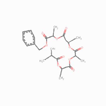 CC(=O)OC(C)C(=O)OC(C)C(=O)OC(C)C(=O)OC(C)C(=O)OC(C)C(=O)OCc1ccccc1